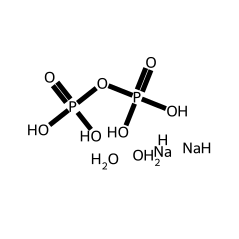 O.O.O=P(O)(O)OP(=O)(O)O.[NaH].[NaH]